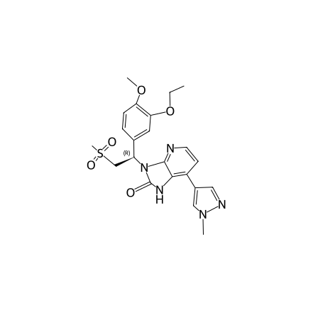 CCOc1cc([C@H](CS(C)(=O)=O)n2c(=O)[nH]c3c(-c4cnn(C)c4)ccnc32)ccc1OC